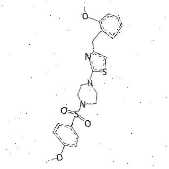 COc1ccc(S(=O)(=O)N2CCN(c3nc(Cc4ccccc4OC)cs3)CC2)cc1